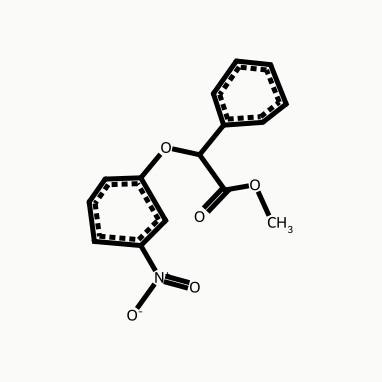 COC(=O)C(Oc1cccc([N+](=O)[O-])c1)c1ccccc1